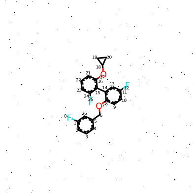 Fc1cccc(COc2ccc(F)cc2-c2c(OC3CC3)[c]ccc2F)c1